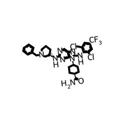 NC(=O)[C@H]1CC[C@@H](n2c(Nc3c(Cl)cc(C(F)(F)F)cc3Cl)nc3cnc(N[C@@H]4CCCN(Cc5ccccc5)C4)nc32)CC1